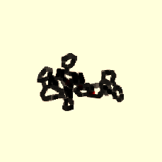 C1=CCC(c2nc(C3=CCCC=C3)nc(-n3c4ccccc4c4ccc5c6ccccc6n(-c6cccc(-c7ccc8c(c7)c7cccc9c%10ccccc%10n8c97)c6)c5c43)n2)C=C1